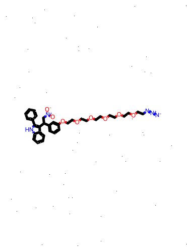 [N-]=[N+]=NCCOCCOCCOCCOCCOCCOc1cccc(C(C[N+](=O)[O-])c2c(-c3ccccc3)[nH]c3ccccc23)c1